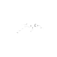 CON=C(C(=O)N[C@@H]1C(=O)NC1SCCNC(C)=O)c1csc(NC(=O)CCl)n1